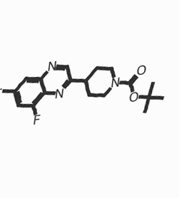 CC(C)(C)OC(=O)N1CCC(c2cnc3cc(Br)cc(F)c3n2)CC1